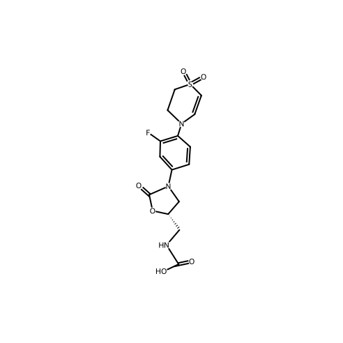 O=C(O)NC[C@H]1CN(c2ccc(N3C=CS(=O)(=O)CC3)c(F)c2)C(=O)O1